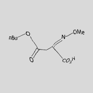 CCCCOC(=O)C(=NOC)C(=O)O